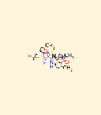 CC[C@@H](NC1NSN=C1Nc1ccc(C)c(C(=O)N(C)C)c1O)c1ccc(C)o1